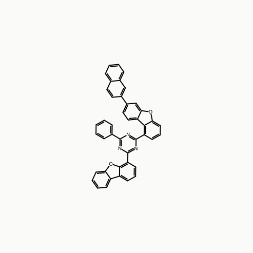 c1ccc(-c2nc(-c3cccc4c3oc3ccccc34)nc(-c3cccc4oc5cc(-c6ccc7ccccc7c6)ccc5c34)n2)cc1